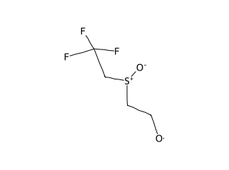 [O]CC[S+]([O-])CC(F)(F)F